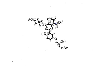 CNC[C@@H](O)COc1ccc(Cl)c(-c2nc(/C(C(C)=N)=C(\C)O)c(C)c(N3CC4(CC(O)C4)C3)n2)c1